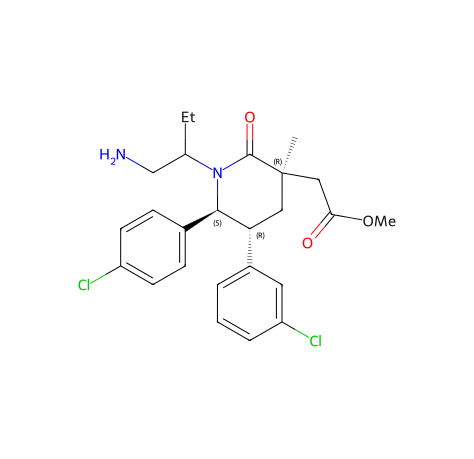 CCC(CN)N1C(=O)[C@@](C)(CC(=O)OC)C[C@H](c2cccc(Cl)c2)[C@H]1c1ccc(Cl)cc1